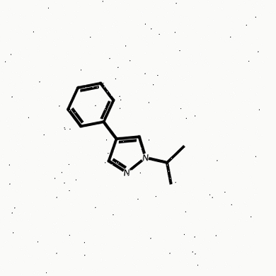 CC(C)n1cc(-c2c[c]ccc2)cn1